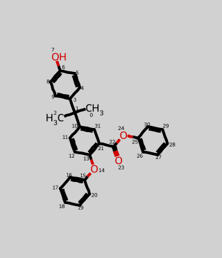 CC(C)(c1ccc(O)cc1)c1ccc(Oc2ccccc2)c(C(=O)Oc2ccccc2)c1